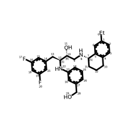 CCc1ccc2c(c1)[C@@H](NC[C@@H](O)[C@H](Cc1cc(F)cc(F)c1)Nc1cccc(CO)c1)CCC2